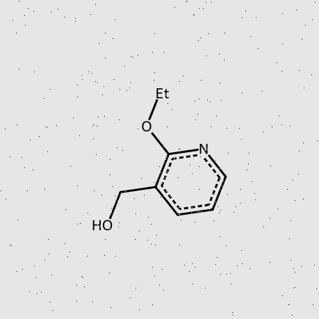 CCOc1ncccc1CO